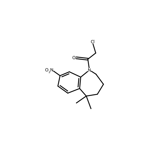 CC1(C)CCCN(C(=O)CCl)c2cc([N+](=O)[O-])ccc21